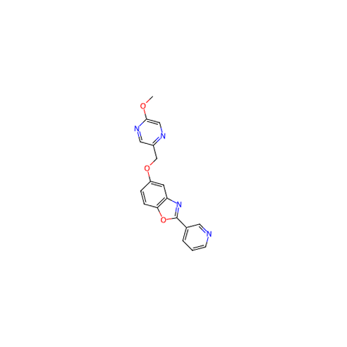 COc1cnc(COc2ccc3oc(-c4cccnc4)nc3c2)cn1